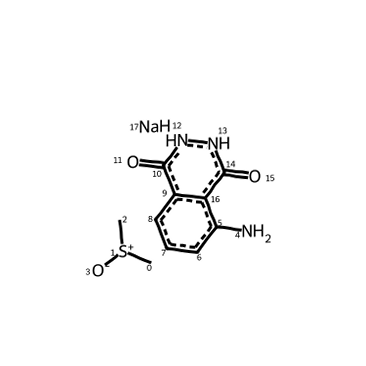 C[S+](C)[O-].Nc1cccc2c(=O)[nH][nH]c(=O)c12.[NaH]